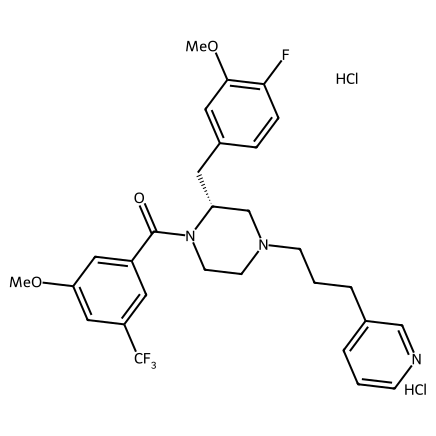 COc1cc(C(=O)N2CCN(CCCc3cccnc3)C[C@H]2Cc2ccc(F)c(OC)c2)cc(C(F)(F)F)c1.Cl.Cl